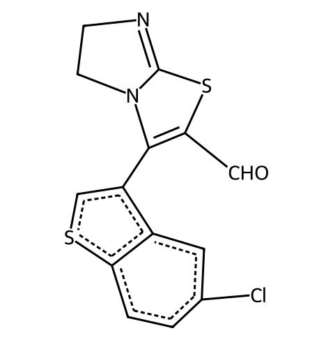 O=CC1=C(c2csc3ccc(Cl)cc23)N2CCN=C2S1